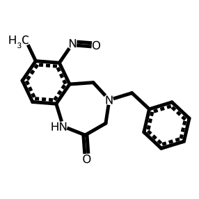 Cc1ccc2c(c1N=O)CN(Cc1ccccc1)CC(=O)N2